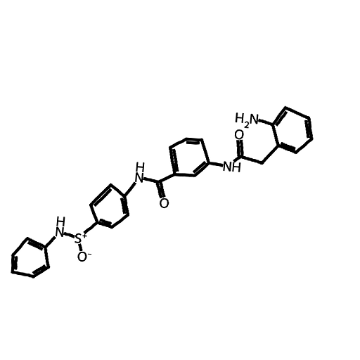 Nc1ccccc1CC(=O)Nc1cccc(C(=O)Nc2ccc([S+]([O-])Nc3ccccc3)cc2)c1